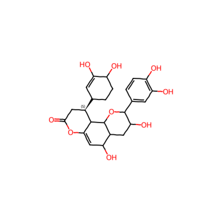 O=C1C[C@@H](C2C=C(O)C(O)CC2)C2C(=CC(O)C3CC(O)C(c4ccc(O)c(O)c4)OC32)O1